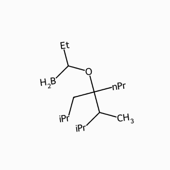 BC(CC)OC(CCC)(CC(C)C)C(C)C(C)C